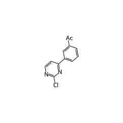 CC(=O)c1cccc(-c2ccnc(Cl)n2)c1